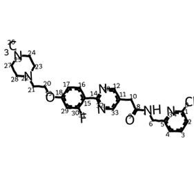 Cc1cccc(CNC(=O)Cc2cnc(-c3ccc(OCCN4CCN(C)CC4)cc3F)nc2)n1